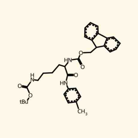 Cc1ccc(NC(=O)C(CCCCNC(=O)OC(C)(C)C)NC(=O)OCC2c3ccccc3-c3ccccc32)cc1